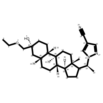 CCOC[C@@]1(O)CC[C@H]2[C@H](CC[C@@H]3[C@@H]2CC[C@]2(C)C([C@H](C)n4cc(C#N)cn4)CC[C@@H]32)C1